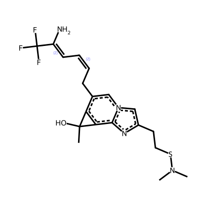 CN(C)SCCc1cn2cc(C/C=C\C=C(/N)C(F)(F)F)c3c(c2n1)C3(C)O